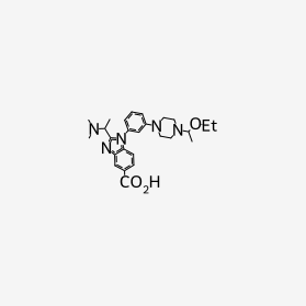 CCOC(C)N1CCN(c2cccc(-n3c(C(C)N(C)C)nc4cc(C(=O)O)ccc43)c2)CC1